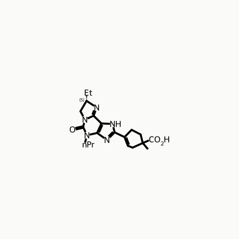 CCCN1C(=O)N2C[C@H](CC)N=C2c2[nH]c(C3=CCC(C)(C(=O)O)CC3)nc21